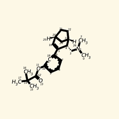 CN(C)C[C@@H]1C(c2cccc(OC(=O)C(C)(C)C)c2)=C[C@@H]2CC[C@H]1C2